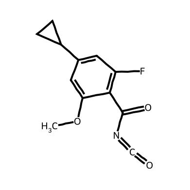 COc1cc(C2CC2)cc(F)c1C(=O)N=C=O